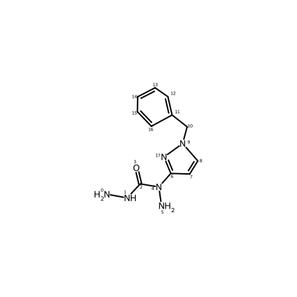 NNC(=O)N(N)c1ccn(Cc2ccccc2)n1